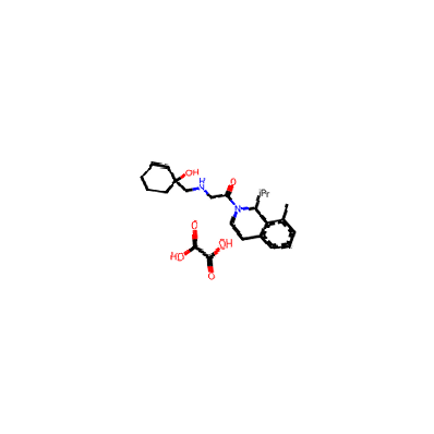 Cc1cccc2c1C(C(C)C)N(C(=O)CNCC1(O)CCCCC1)CC2.O=C(O)C(=O)O